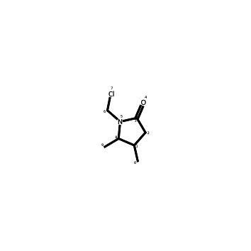 CC1CC(=O)N(CCl)C1C